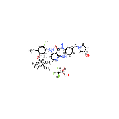 Cc1cc(F)c(Nc2ccnc3c2C(=O)Nc2cc(CN4CC[C@H](O)C4)ccc2N3)cc1O[Si](C)(C)C(C)(C)C.O=C(O)C(F)(F)F